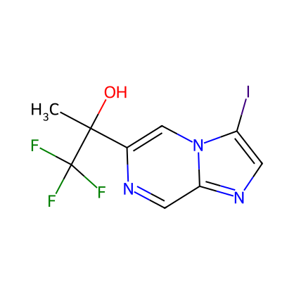 CC(O)(c1cn2c(I)cnc2cn1)C(F)(F)F